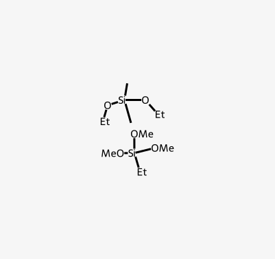 CCO[Si](C)(C)OCC.CC[Si](OC)(OC)OC